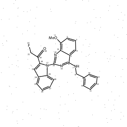 COc1cccc2c(NCc3ccccc3)nc(-n3c(C(=O)CF)cc4ccccc43)nc12